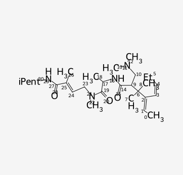 C/C=C(\C=C/CC)C(C)(C)C(CN(C)C)C(=O)NC(C)C(=O)N(C)C/C=C(\C)C(=O)NC(C)CCC